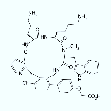 CN1C(=O)[C@H](CCCCN)NC(=O)[C@H](CCCN)NCc2cccnc2Sc2c(Cl)ccc(-c3ccc(OCC(=O)O)cc3)c2CNC(=O)[C@@H]1Cc1c[nH]c2ccccc12